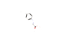 COc1ccc(NCC(=O)OC(C)(C)C)cc1